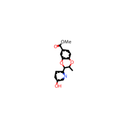 COC(=O)c1ccc2c(c1)OC(c1ccc(O)cn1)C(C)O2